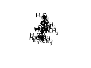 CNC(=O)c1nn(COP(=O)(OC(C)(C)C)OC(C)(C)C)/c(=N/C(=O)C2CC2)cc1Nc1cccc(-c2ncn(C)n2)c1OC